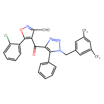 O=Cc1noc(-c2ccccc2Cl)c1C(=O)c1nnn(Cc2cc(C(F)(F)F)cc(C(F)(F)F)c2)c1-c1ccccc1